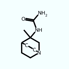 CC1(NC(N)=O)CN2CCC1CC2